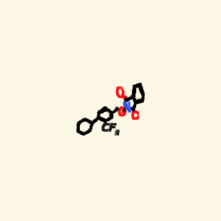 O=C1c2ccccc2C(=O)N1OCc1ccc(C2CCCCC2)c(C(F)(F)F)c1